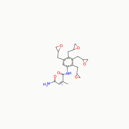 C/C(=C/C(N)=O)C(=O)Nc1cc(CC2CO2)c(CC2CO2)c(CC2CO2)c1CC1CO1